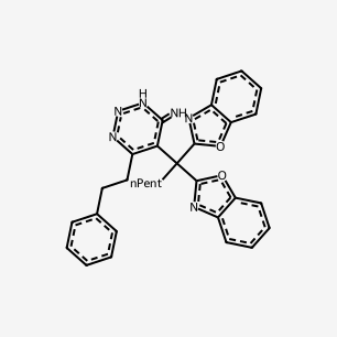 CCCCCC(c1nc2ccccc2o1)(c1nc2ccccc2o1)c1c(CCc2ccccc2)nn[nH]c1=N